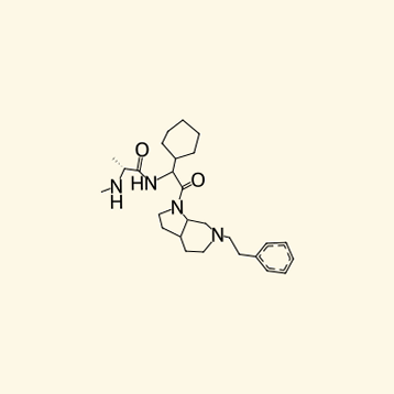 CN[C@H](C)C(=O)NC(C(=O)N1CCC2CCN(CCc3ccccc3)CC21)C1CCCCC1